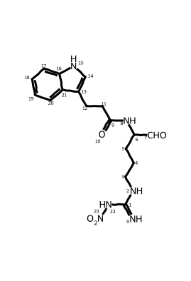 N=C(NCCCC(C=O)NC(=O)CCc1c[nH]c2ccccc12)N[N+](=O)[O-]